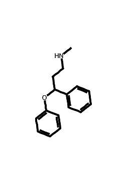 CNCCC(Oc1ccccc1)c1ccccc1